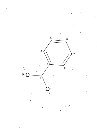 [O]C([O])c1ccccc1